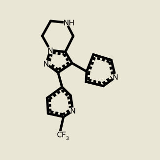 FC(F)(F)c1ccc(-c2nn3c(c2-c2ccncc2)CNCC3)cn1